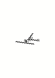 CCCCCCCCCC(CCCCCCC)C(=O)OCC(CCCCCC)OC(=O)CCCCCN(C)C